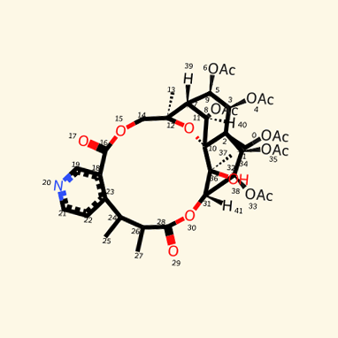 CC(=O)OC[C@]12[C@H](OC(C)=O)[C@H](OC(C)=O)[C@@H]3[C@@H](OC(C)=O)[C@@]14O[C@@]3(C)COC(=O)c1cnccc1C(C)C(C)C(=O)O[C@@H]([C@H](OC(C)=O)[C@@H]2OC(C)=O)[C@]4(C)O